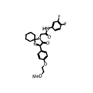 COCCOc1ccc(C2=NC3(CCCCC3)N(CC(=O)Nc3ccc(F)c(F)c3)C2=O)cc1